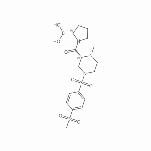 CN1CCN(S(=O)(=O)c2ccc(S(C)(=O)=O)cc2)C[C@H]1C(=O)N1CCC[C@H]1B(O)O